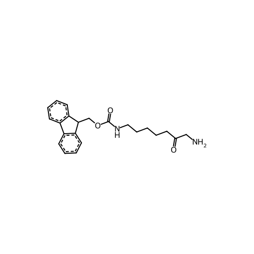 NCC(=O)CCCCCNC(=O)OCC1c2ccccc2-c2ccccc21